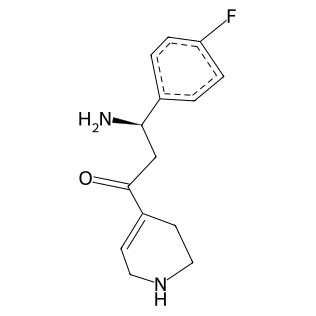 N[C@H](CC(=O)C1=CCNCC1)c1ccc(F)cc1